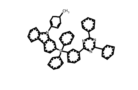 CC1C=CC(n2c3ccccc3c3ccc([Si](c4ccccc4)(c4ccccc4)c4cccc(-c5nc(-c6ccccc6)nc(-c6ccccc6)n5)c4)cc32)=CC1